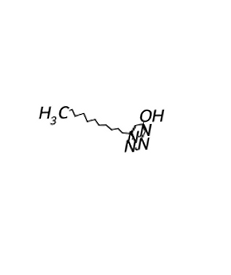 CCCCCCCCCCCc1cc(O)nc2ncnn12